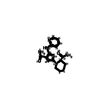 NC(=O)c1nc(N2CCC[CH][C@@H]2C(N)=O)sc1Nc1ccccn1